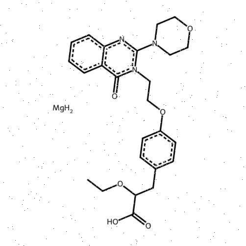 CCOC(Cc1ccc(OCCn2c(N3CCOCC3)nc3ccccc3c2=O)cc1)C(=O)O.[MgH2]